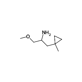 COCC(N)CC1(C)CC1